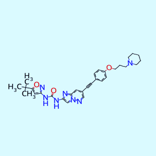 CC(C)(C)c1cc(NC(=O)Nc2cn3ncc(C#Cc4ccc(OCCCN5CCCCC5)cc4)cc3n2)no1